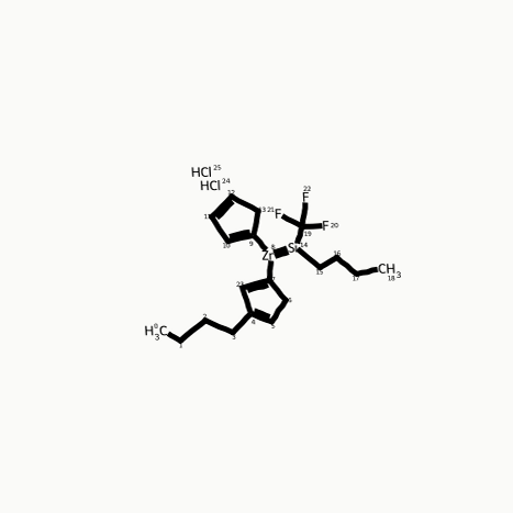 CCCCC1=CC[C](/[Zr]([C]2=CC=CC2)=[Si](\CCCC)C(F)(F)F)=C1.Cl.Cl